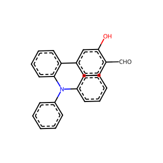 O=Cc1ccc(-c2ccccc2N(c2ccccc2)c2ccccc2)cc1O